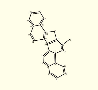 Cc1nc2c(ccc3ccccc32)c2c1Cc1c-2ccc2ccccc12